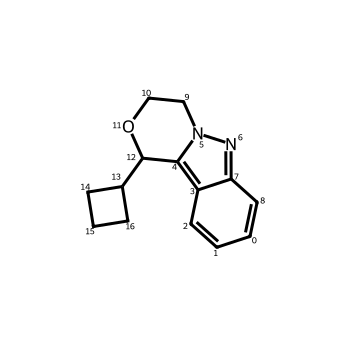 c1ccc2c3n(nc2c1)CCOC3C1CCC1